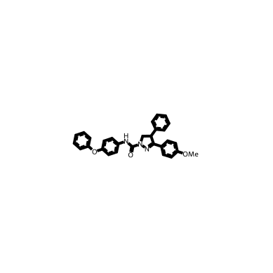 COc1ccc(C2=NN(C(=O)Nc3ccc(Oc4ccccc4)cc3)CC2c2ccccc2)cc1